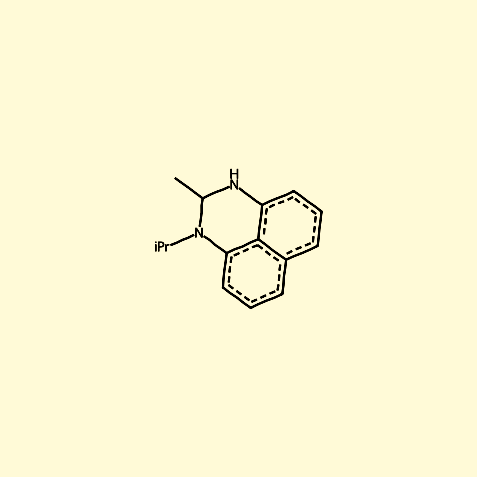 CC(C)N1c2cccc3cccc(c23)NC1C